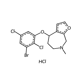 CN1CCC(Oc2cc(Cl)cc(Br)c2Cl)c2ccoc2C1.Cl